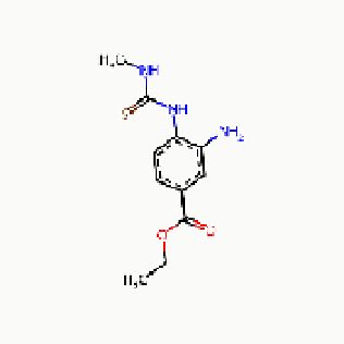 CCOC(=O)c1ccc(NC(=S)NC)c(N)c1